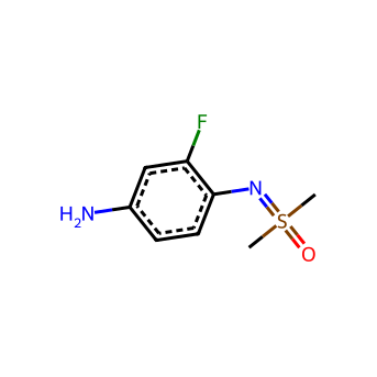 CS(C)(=O)=Nc1ccc(N)cc1F